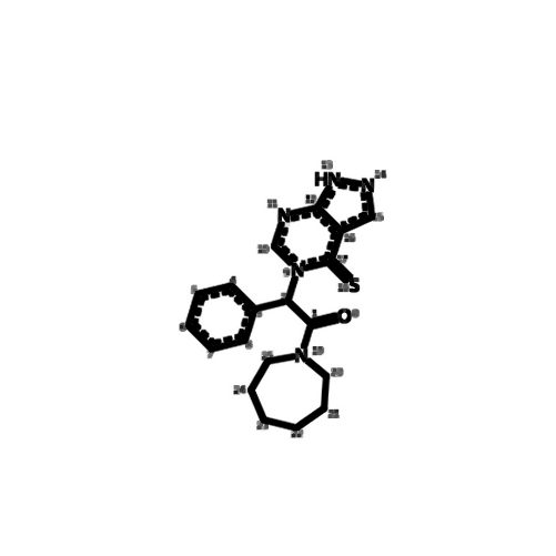 O=C(C(c1ccccc1)n1cnc2[nH]ncc2c1=S)N1CCCCCC1